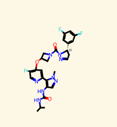 CC(C)NC(=O)Nc1cnn(C)c1-c1cc(OC2CN(C(=O)N3N=CC[C@H]3c3cc(F)cc(F)c3)C2)c(F)cn1